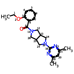 CCOc1ccccc1C(=O)N1CC2CN(c3nc(C)cc(C)n3)CC2C1